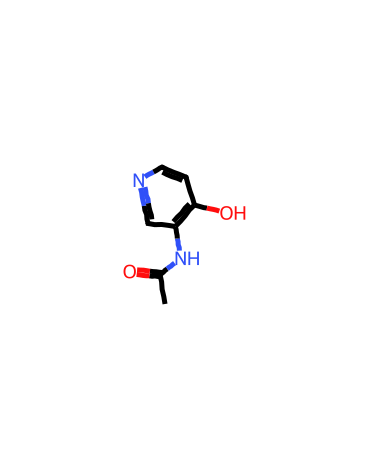 CC(=O)Nc1cnccc1O